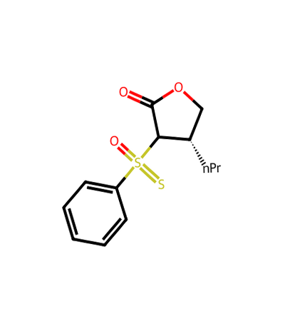 CCC[C@H]1COC(=O)C1S(=O)(=S)c1ccccc1